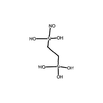 O=N[Si](O)(O)CC[Si](O)(O)O